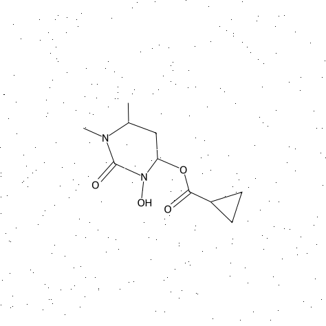 CC1CC(OC(=O)C2CC2)N(O)C(=O)N1C